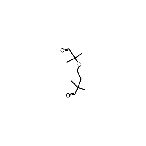 CC(C)(C=O)CCOC(C)(C)C=O